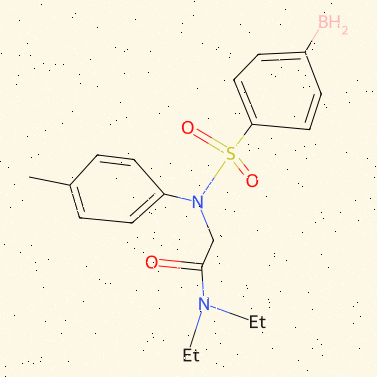 Bc1ccc(S(=O)(=O)N(CC(=O)N(CC)CC)c2ccc(C)cc2)cc1